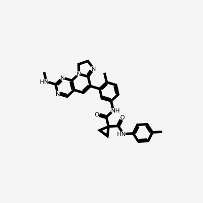 CNc1ncc2c(n1)N1CCN=C1C(c1cc(NC(=O)C3(C(=O)Nc4ccc(C)cc4)CC3)ccc1C)=C2